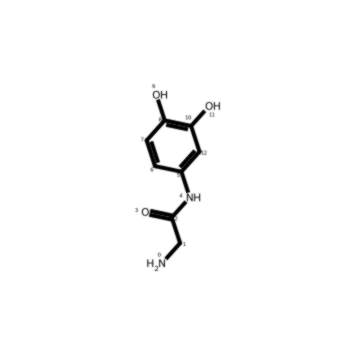 NCC(=O)Nc1ccc(O)c(O)c1